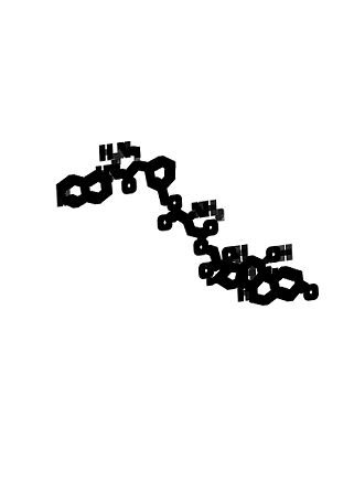 C[C@@H]1C[C@H]2[C@@H]3CCC4=CC(=O)C=C[C@]4(C)[C@@]3(C)[C@@H](O)C[C@]2(C)[C@@]1(O)C(=O)COC(=O)C[C@H](N)C(=O)OCc1cccc([C@@H](CN)C(=O)Nc2ccc3cnccc3c2)c1